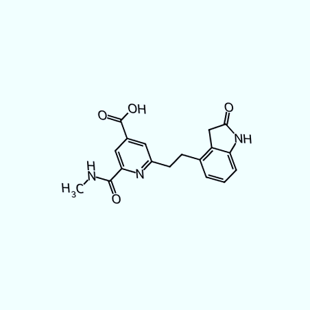 CNC(=O)c1cc(C(=O)O)cc(CCc2cccc3c2CC(=O)N3)n1